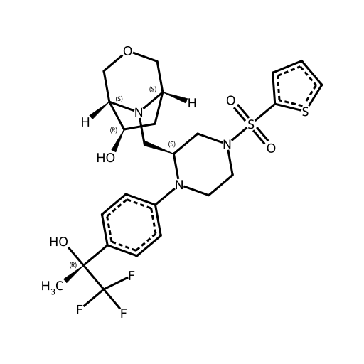 C[C@@](O)(c1ccc(N2CCN(S(=O)(=O)c3cccs3)C[C@@H]2CN2[C@@H]3COC[C@H]2[C@H](O)C3)cc1)C(F)(F)F